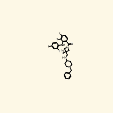 O=C(c1ccc(F)c(F)c1Nc1ccc(I)cc1F)N1CC(O)(CNC2CCN(Cc3ccccc3)CC2)C1